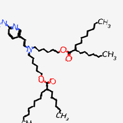 CCCCCCCCC(CCCCCC)C(=O)OCCCCCCN(CCCCCCOC(=O)C(CCCCCC)CCCCCCCC)CCc1ccc(N)nc1